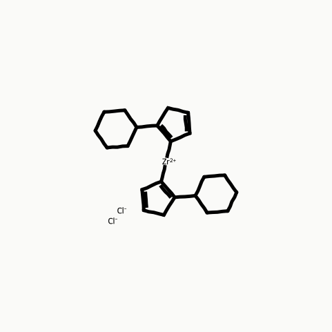 C1=C[C]([Zr+2][C]2=C(C3CCCCC3)CC=C2)=C(C2CCCCC2)C1.[Cl-].[Cl-]